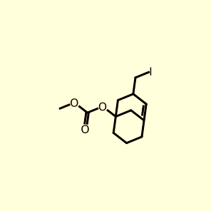 COC(=O)OC12CCCC(=CC(CI)C1)C2